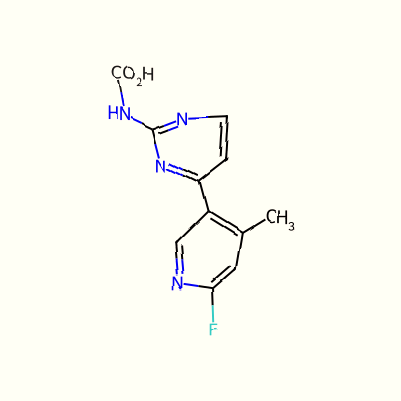 Cc1cc(F)ncc1-c1ccnc(NC(=O)O)n1